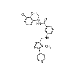 Cn1c(CNc2cccc(C(=O)N[C@H]3CCOc4c(Cl)cccc43)c2)nnc1-c1ccncc1